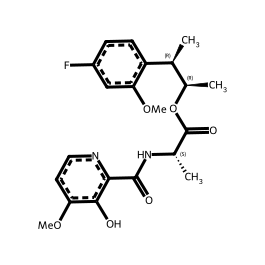 COc1cc(F)ccc1[C@@H](C)[C@@H](C)OC(=O)[C@H](C)NC(=O)c1nccc(OC)c1O